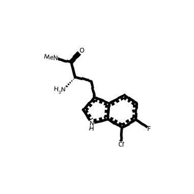 CNC(=O)[C@@H](N)Cc1c[nH]c2c(Cl)c(F)ccc12